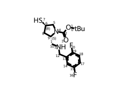 CC(C)(C)OC(=O)N1C[C@H](S)C[C@H]1CNCc1cc(F)ccc1F